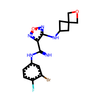 N=C(Nc1ccc(F)c(Br)c1)c1nonc1NC1CC2(COC2)C1